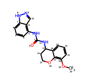 O=C(Nc1cccc2[nH]ncc12)NC1CCOc2c(OC(F)(F)F)cccc21